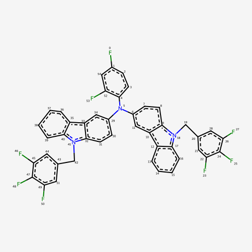 Fc1ccc(N(c2ccc3c(c2)c2ccccc2n3Cc2cc(F)c(F)c(F)c2)c2ccc3c(c2)c2ccccc2n3Cc2cc(F)c(F)c(F)c2)c(F)c1